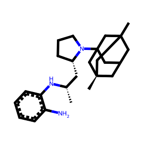 C[C@@H](C[C@@H]1CCCN1C12CC3CC(C)(C1)C[C@](C)(C3)C2)Nc1ccccc1N